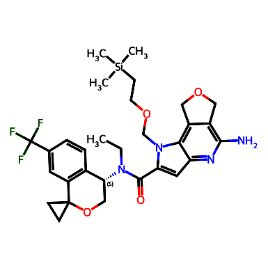 CCN(C(=O)c1cc2nc(N)c3c(c2n1COCC[Si](C)(C)C)COC3)[C@@H]1COC2(CC2)c2cc(C(F)(F)F)ccc21